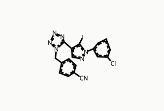 N#Cc1ccc(Cn2nnnc2-c2cnn(-c3cccc(Cl)c3)c2I)cc1